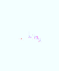 CCOC(=O)CCCCCC(=O)NCc1cccc2c1C(=O)N(C1CCC(=O)NC1=O)C2=O